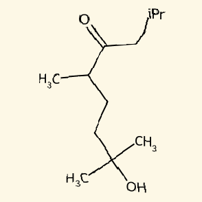 CC(C)CC(=O)C(C)CCC(C)(C)O